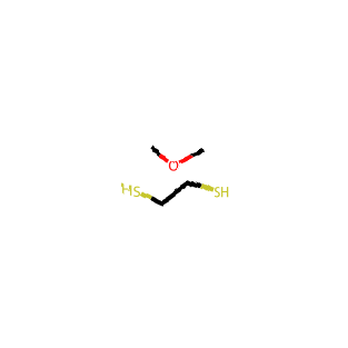 COC.SCCS